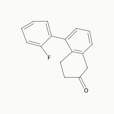 O=C1CCc2c(cccc2-c2ccccc2F)C1